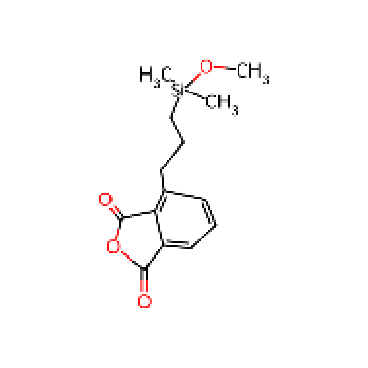 CO[Si](C)(C)CCCc1cccc2c1C(=O)OC2=O